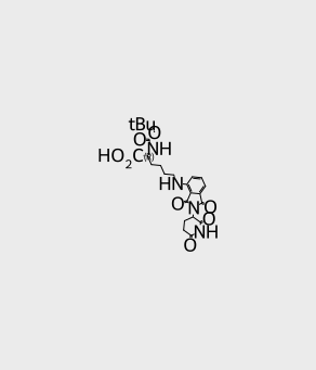 CC(C)(C)OC(=O)N[C@H](CCCCNc1cccc2c1C(=O)N(C1CCC(=O)NC1=O)C2=O)C(=O)O